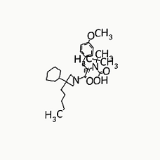 CCCCCC1(C2CCCCC2)CN(C(=O)[C@@H](Cc2ccc(OC)cc2)N(C(=O)O)C(C)(C)C)C1